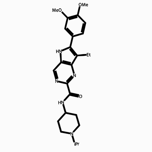 CCc1c(-c2ccc(OC)c(OC)c2)[nH]c2cnc(C(=O)NC3CCN(C(C)C)CC3)nc12